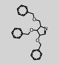 C1=NC(COCc2ccccc2)C(OCc2ccccc2)C1OCc1ccccc1